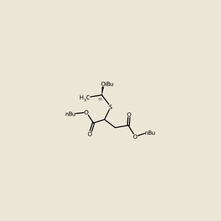 CCCCOC(=O)CC(S[C@@H](C)OCC(C)C)C(=O)OCCCC